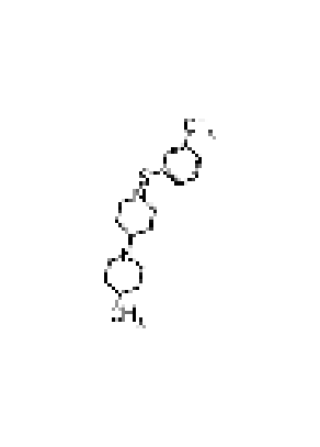 CC1CCN(C2CCN(Sc3cccc(C(F)(F)F)c3)CC2)CC1